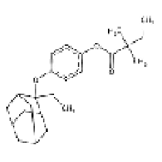 CCC(C)(C)C(=O)Oc1ccc(OC2(CC)C3CC4CC(C3)CC2C4)cc1